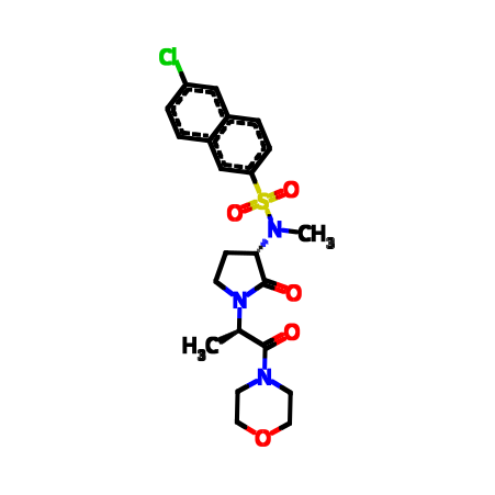 C[C@H](C(=O)N1CCOCC1)N1CC[C@H](N(C)S(=O)(=O)c2ccc3cc(Cl)ccc3c2)C1=O